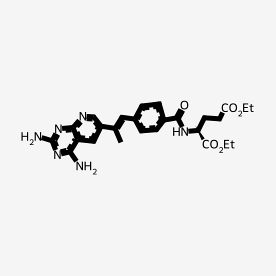 CCOC(=O)CC[C@H](NC(=O)c1ccc(C=C(C)c2cnc3nc(N)nc(N)c3c2)cc1)C(=O)OCC